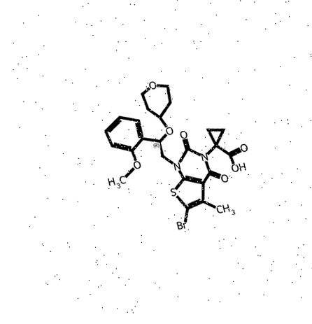 COc1ccccc1[C@H](Cn1c(=O)n(C2(C(=O)O)CC2)c(=O)c2c(C)c(Br)sc21)OC1CCOCC1